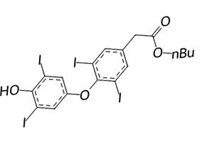 CCCCOC(=O)Cc1cc(I)c(Oc2cc(I)c(O)c(I)c2)c(I)c1